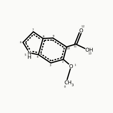 COc1cc2[nH]ccc2cc1C(=O)O